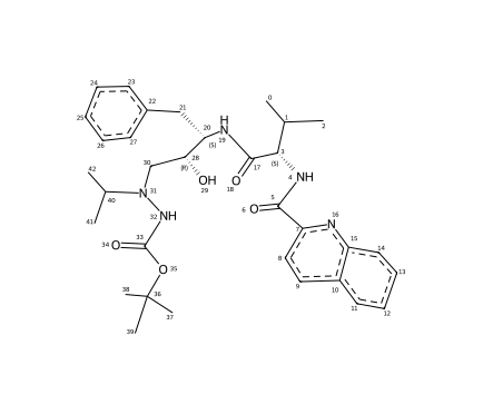 CC(C)[C@H](NC(=O)c1ccc2ccccc2n1)C(=O)N[C@@H](Cc1ccccc1)[C@H](O)CN(NC(=O)OC(C)(C)C)C(C)C